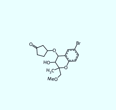 COCC1(C)Oc2ccc(Br)cc2C(OC2CCC(=O)C2)C1O